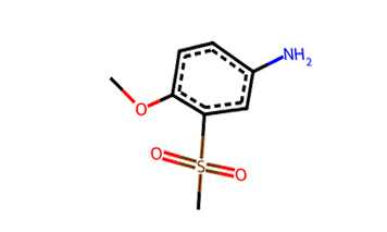 COc1ccc(N)cc1S(C)(=O)=O